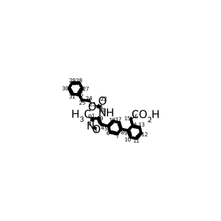 Cc1noc(-c2ccc(-c3ccccc3CC(=O)O)cc2)c1NC(=O)OCCc1ccccc1